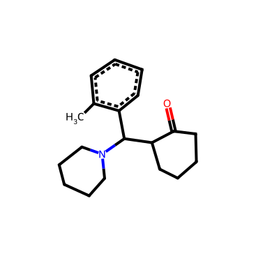 Cc1ccccc1C(C1CCCCC1=O)N1CCCCC1